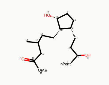 CCCCCC(O)CC[C@H]1CC[C@@H](O)[C@H]1CCC(C)CC(=O)OC